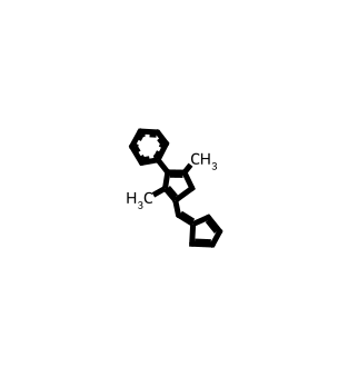 CC1=C(c2ccccc2)C(C)=C(C=C2C=CC=C2)C1